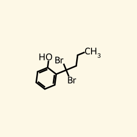 CCCC(Br)(Br)c1ccccc1O